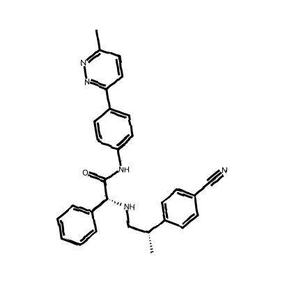 Cc1ccc(-c2ccc(NC(=O)[C@H](NC[C@@H](C)c3ccc(C#N)cc3)c3ccccc3)cc2)nn1